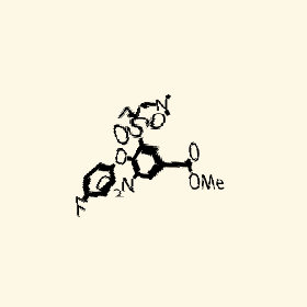 COC(=O)c1cc([N+](=O)[O-])c(Oc2ccc(F)cc2)c(S(=O)(=O)/N=C\N(C)C)c1